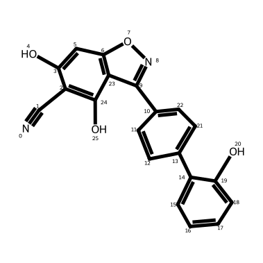 N#Cc1c(O)cc2onc(-c3ccc(-c4ccccc4O)cc3)c2c1O